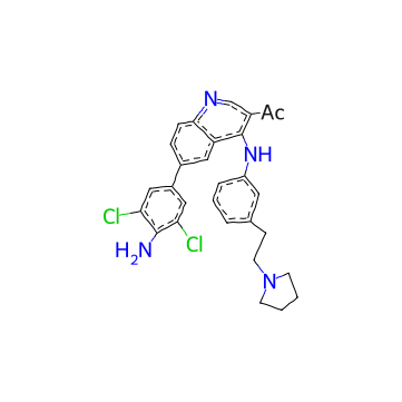 CC(=O)c1cnc2ccc(-c3cc(Cl)c(N)c(Cl)c3)cc2c1Nc1cccc(CCN2CCCC2)c1